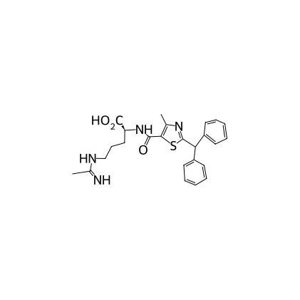 CC(=N)NCCC[C@H](NC(=O)c1sc(C(c2ccccc2)c2ccccc2)nc1C)C(=O)O